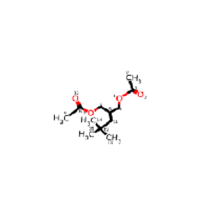 CC(=O)OCC(COC(C)=O)CC(C)(C)C